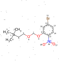 C[Si](C)(C)CCOCOc1cc(Br)ccc1[N+](=O)[O-]